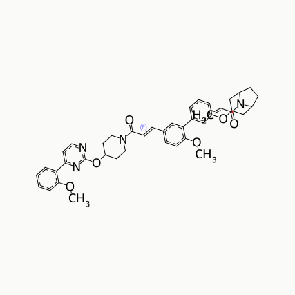 C=CC(=O)N1C2CCC1CC(Oc1cccc(-c3cc(/C=C/C(=O)N4CCC(Oc5nccc(-c6ccccc6OC)n5)CC4)ccc3OC)c1)C2